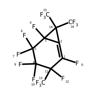 FC1=C2C(F)(C(F)(F)C(F)(F)C1(F)C(F)(F)F)C2(C(F)(F)F)C(F)(F)F